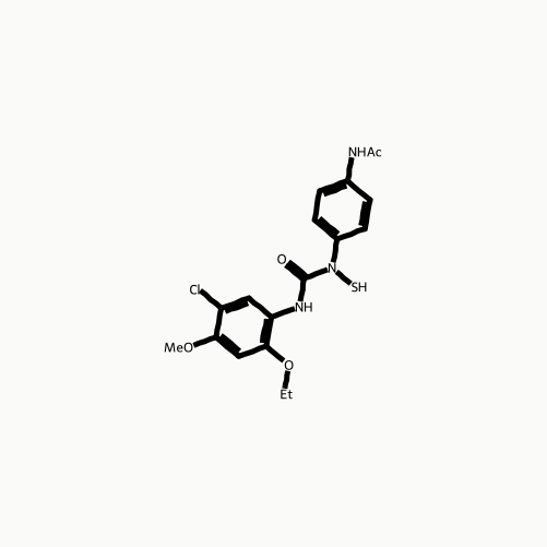 CCOc1cc(OC)c(Cl)cc1NC(=O)N(S)c1ccc(NC(C)=O)cc1